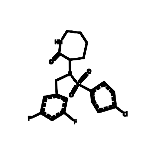 O=C1NCCCCC1N(Cc1cc(F)cc(F)c1)S(=O)(=O)c1ccc(Cl)cc1